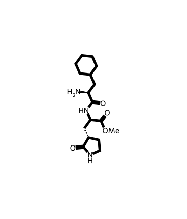 COC(=O)C(C[C@@H]1CCNC1=O)NC(=O)[C@@H](N)CC1CCCCC1